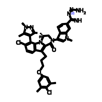 Cc1cc(OCCCc2c3n(c4c(-c5c(C)nn(C)c5C)c(Cl)ccc24)[C@H](C)CN(c2cn(C)c4cc(C(=N)/N=N\N)ccc24)C3=O)cc(C)c1Cl